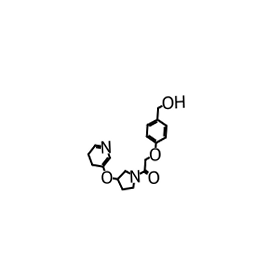 O=C(COc1ccc(CO)cc1)N1CCC(OC2=CN=CCC2)C1